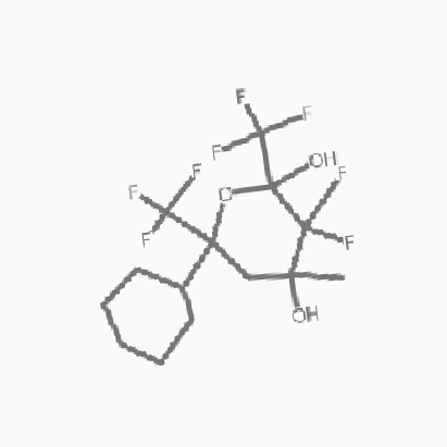 CC1(O)CC(C2CCCCC2)(C(F)(F)F)OC(O)(C(F)(F)F)C1(F)F